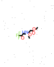 CCOC(=O)CC(NC=CC(=O)C(F)(F)F)OCC